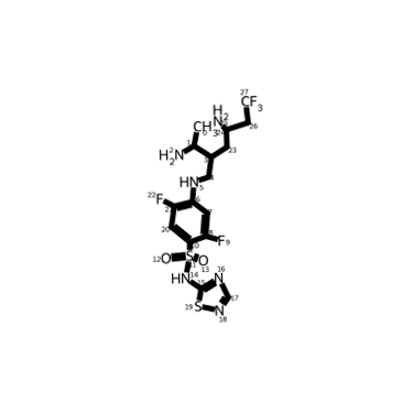 CC(N)C(CNc1cc(F)c(S(=O)(=O)Nc2ncns2)cc1F)CC(N)CC(F)(F)F